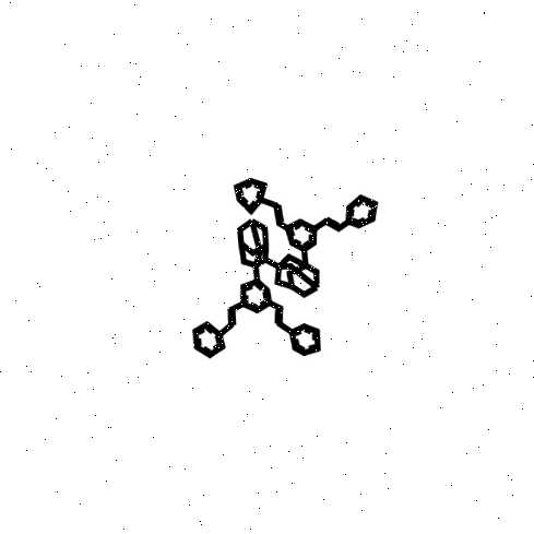 C(=Cc1cc(C=Cc2ccccc2)cc(C23CC4CC(C2)CC(C2C5CC6CC(C5)CC2(c2cc(C=Cc5ccccc5)cc(C=Cc5ccccc5)c2)C6)(C4)C3)c1)c1ccccc1